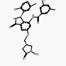 CN1C[C@H](COc2cc(NC(=O)c3cc(F)cc(C(F)(F)F)c3)c3c(c2)C(=O)N[C@H]3c2cc(F)ccc2Cl)CC1=O